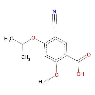 COc1cc(OC(C)C)c(C#N)cc1C(=O)O